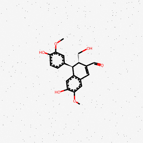 COc1cc([C@@H]2c3cc(O)c(OC)cc3C=C(C=O)[C@H]2CO)ccc1O